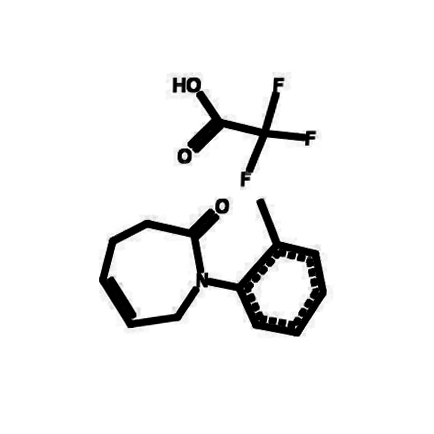 Cc1ccccc1N1CC=CCCC1=O.O=C(O)C(F)(F)F